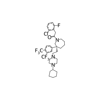 O=C(Cc1c(F)cccc1Cl)N1CCCC[C@](CCN2CCN(C3CCCCC3)CC2)(c2ccc(C(F)(F)F)c(C(F)(F)F)c2)C1